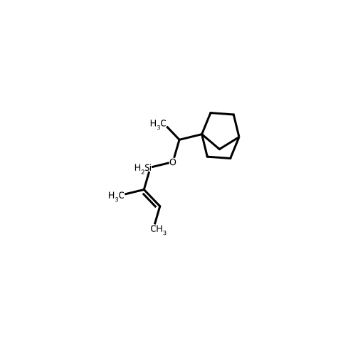 CC=C(C)[SiH2]OC(C)C12CCC(CC1)C2